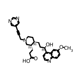 COc1ccc2nccc([C@H](O)CC[C@@H]3CCN(CC#Cc4cncnc4)C[C@H]3CCC(=O)O)c2c1